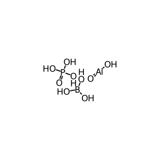 O=P(O)(O)O.OB(O)O.[O]=[Al][OH]